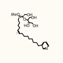 CON(CCCC/C=C\CCCCCCCCc1cccnc1)[C@@H](CO)OC(CO)[C@@H](O)CO